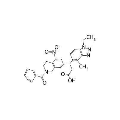 CCn1nnc2c(C)c(C(CC(=O)O)c3cc4c(c([N+](=O)[O-])c3)CCN(C(=O)c3ccccc3)C4)ccc21